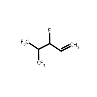 C=CC(F)C(C(F)(F)F)C(F)(F)F